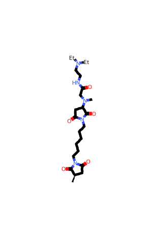 CCN(CC)CCNC(=O)CN(C)C1CC(=O)N(CCCCCCN2C(=O)C[C@@H](C)C2=O)C1=O